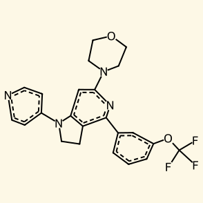 FC(F)(F)Oc1cccc(-c2nc(N3CCOCC3)cc3c2CCN3c2ccncc2)c1